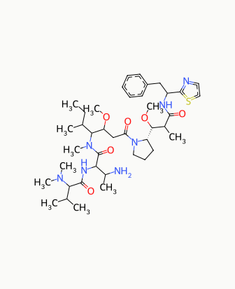 CCC(C)C(C(CC(=O)N1CCC[C@H]1C(OC)C(C)C(=O)NC(Cc1ccccc1)c1nccs1)OC)N(C)C(=O)C(NC(=O)C(C(C)C)N(C)C)C(C)N